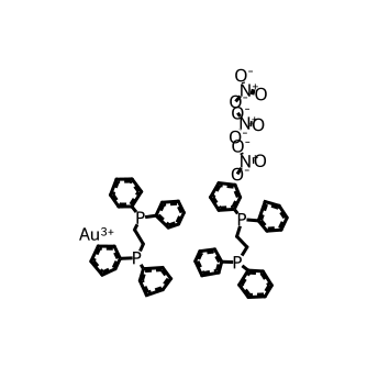 O=[N+]([O-])[O-].O=[N+]([O-])[O-].O=[N+]([O-])[O-].[Au+3].c1ccc(P(CCP(c2ccccc2)c2ccccc2)c2ccccc2)cc1.c1ccc(P(CCP(c2ccccc2)c2ccccc2)c2ccccc2)cc1